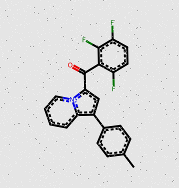 Cc1ccc(-c2cc(C(=O)c3c(F)ccc(F)c3F)n3ccccc23)cc1